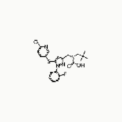 CC(C)(C)CN(Cc1cc(Sc2ccc(Cl)nc2)n(-c2ccccc2F)n1)C(=O)O